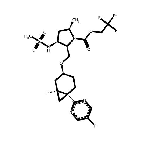 CCC(F)(F)COC(=O)N1[C@H](C)C[C@H](NS(C)(=O)=O)[C@@H]1CO[C@H]1CC[C@@]2(c3ncc(F)cn3)C[C@H]2C1